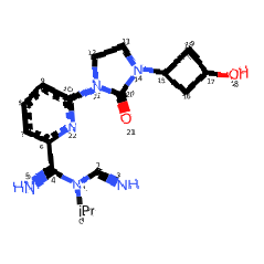 CC(C)N(C=N)C(=N)c1cccc(N2CCN(C3CC(O)C3)C2=O)n1